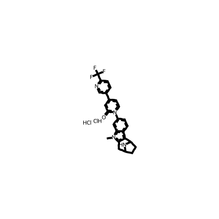 Cl.Cl.Cn1c2c(c3ccc(-n4ccc(-c5ccc(C(F)(F)F)nc5)cc4=O)cc31)C1CCC(C2)N1